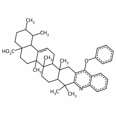 CC1CCC2(C(=O)O)CCC3(C)C(=CCC4C5(C)Cc6c(nc7ccccc7c6Oc6ccccc6)C(C)(C)C5CCC43C)C2C1C